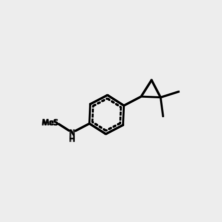 CSNc1ccc(C2CC2(C)C)cc1